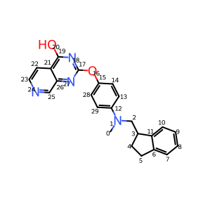 CN(CC1CCc2ccccc21)c1ccc(Oc2nc(O)c3ccncc3n2)cc1